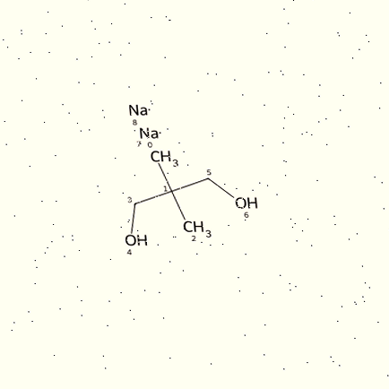 CC(C)(CO)CO.[Na].[Na]